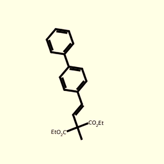 CCOC(=O)C(C)(C=Cc1ccc(-c2ccccc2)cc1)C(=O)OCC